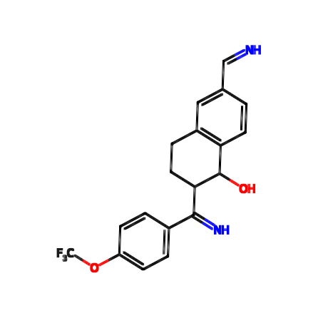 N=Cc1ccc2c(c1)CCC(C(=N)c1ccc(OC(F)(F)F)cc1)C2O